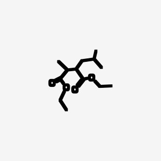 CCOC(=O)C(C)C(CC(C)C)C(=O)OCC